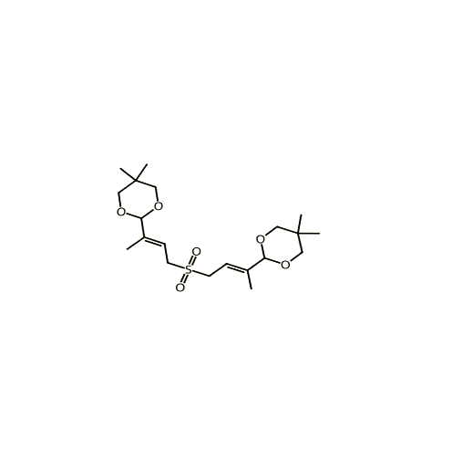 C/C(=C\CS(=O)(=O)C/C=C(\C)C1OCC(C)(C)CO1)C1OCC(C)(C)CO1